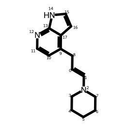 C(=CN1CCCCC1)Cc1ccnc2[nH]ccc12